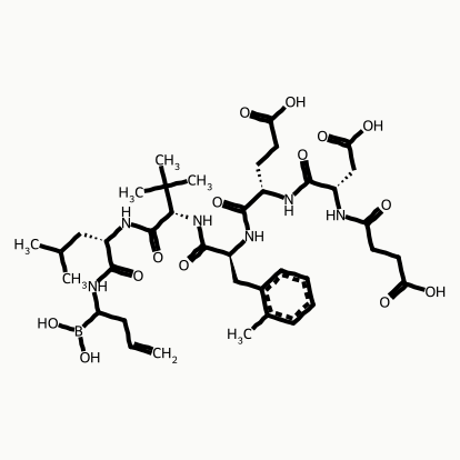 C=CCC(NC(=O)[C@H](CC(C)C)NC(=O)[C@@H](NC(=O)[C@H](Cc1ccccc1C)NC(=O)[C@H](CCC(=O)O)NC(=O)[C@H](CC(=O)O)NC(=O)CCC(=O)O)C(C)(C)C)B(O)O